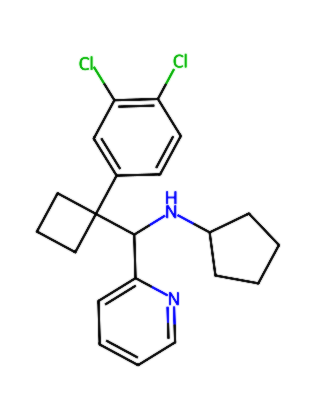 Clc1ccc(C2(C(NC3CCCC3)c3ccccn3)CCC2)cc1Cl